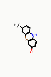 Cc1ccc2c(c1)SC1=C(C=CC(=O)C1)N2